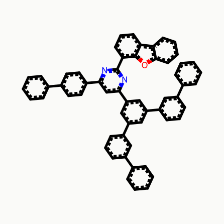 c1ccc(-c2ccc(-c3cc(-c4cc(-c5cccc(-c6ccccc6)c5)cc(-c5cccc(-c6ccccc6)c5)c4)nc(-c4cccc5c4oc4ccccc45)n3)cc2)cc1